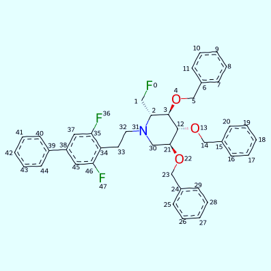 FC[C@@H]1[C@@H](OCc2ccccc2)[C@H](OCc2ccccc2)[C@@H](OCc2ccccc2)CN1CCc1c(F)cc(-c2ccccc2)cc1F